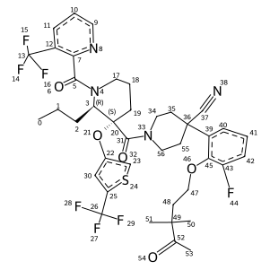 CCC[C@H]1N(C(=O)c2ncccc2C(F)(F)F)CCC[C@@]1(Oc1csc(C(F)(F)F)c1)C(=O)N1CCC(C#N)(c2cccc(F)c2OCCC(C)(C)C(C)=O)CC1